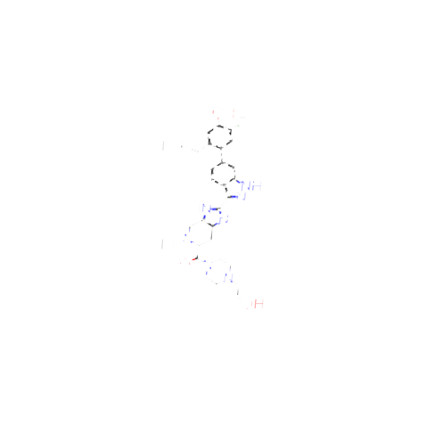 CCc1cc(O)c(F)cc1-c1ccc2c(-c3nc4c([nH]3)CN(C)[C@H](C(=O)N3CCN(CCO)CC3)C4)n[nH]c2c1